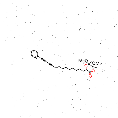 COC1(C)OC(=O)C(CCCCCCCCCC#CC#Cc2ccccc2)OC1(C)OC